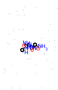 COc1nc2c(C(N)=O)cccc2n1-c1ncc(C(N)=O)c(NCc2ccccc2)n1